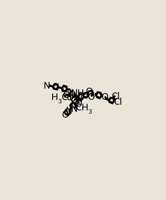 COC(=O)[C@H](Cc1ccc(-c2ccc(C#N)cc2)cc1)NC(=O)C1Cc2cc3c(cc2CN1S(=O)(=O)c1ccc(N2CCOCC2)nc1C)O[C@@H](c1ccc(OCc2ccc(Cl)c(Cl)c2)cc1)CO3